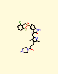 Cc1[nH]c(/C=C2\C(=O)Nc3ccc(S(=O)(=O)Cc4c(Cl)cccc4Cl)cc32)c(C)c1CCC(=O)N1CCN(C)CC1